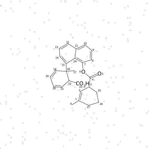 CC1=CC(C(=O)Oc2cccc3cccc(C4(C)C=CC=CC4C(=O)O)c23)CCC1